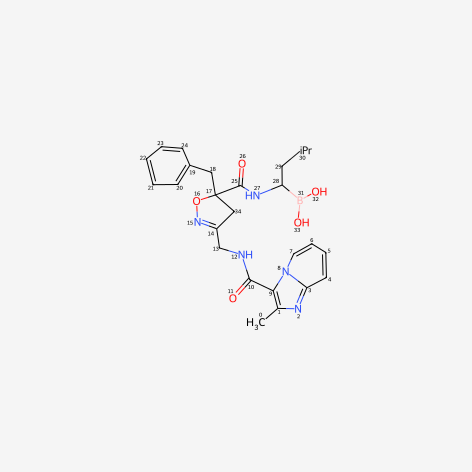 Cc1nc2ccccn2c1C(=O)NCC1=NOC(Cc2ccccc2)(C(=O)NC(CC(C)C)B(O)O)C1